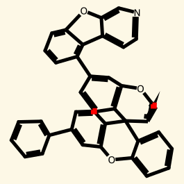 c1ccc(-c2ccc3c(c2)Oc2ccccc2C32c3ccccc3Oc3cc(-c4cccc5oc6cnccc6c45)ccc32)cc1